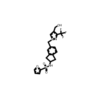 O=S(=O)(NC1Cc2ccc(Cn3cc(CO)c(C(F)(F)F)n3)cc2C1)c1ccco1